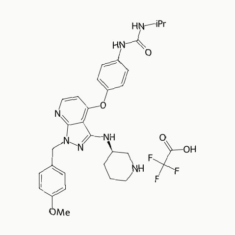 COc1ccc(Cn2nc(N[C@@H]3CCCNC3)c3c(Oc4ccc(NC(=O)NC(C)C)cc4)ccnc32)cc1.O=C(O)C(F)(F)F